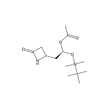 CC(=O)O[C@H](CC1CC(=O)N1)O[Si](C)(C)C(C)(C)C